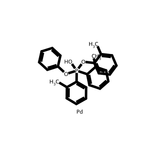 Cc1ccccc1OP(O)(Oc1ccccc1)(c1ccccc1C)c1ccccc1C.[Pd]